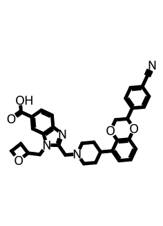 N#Cc1ccc(C2COc3c(cccc3C3CCN(Cc4nc5ccc(C(=O)O)cc5n4CC4CCO4)CC3)O2)cc1